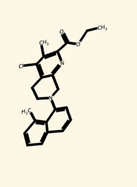 CCOC(=O)c1nc2c(c(Cl)c1C)CCN(c1cccc3cccc(C)c13)C2